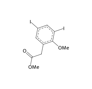 COC(=O)Cc1cc(I)cc(I)c1OC